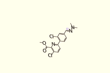 COC(=O)c1nc(-c2ccc(/C=N/N(C)C)cc2Cl)ccc1Cl